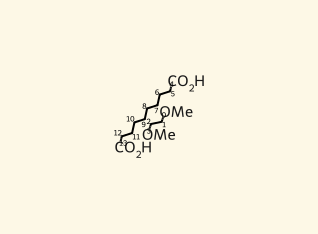 COCCOC.O=C(O)CCCCCCCCC(=O)O